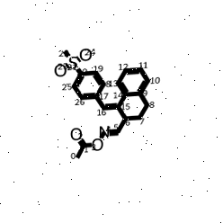 CC(=O)ON=CC1CCc2ccccc2C1=Cc1ccc(S(C)(=O)=O)cc1